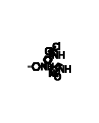 Cn1cc(-c2cc(S(=N)(=O)C(C)(C)Cl)ccc2N[C@H]2CC[C@H](C)CC2)c2cc[nH]c2c1=O